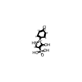 O=P(O)(O)C1=C(O)N(c2ccc(Cl)cc2)NC1